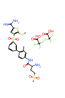 CSc1sc(C(=N)N)cc1S(=O)(=O)c1cccc(-c2ccc(NC(=O)C(N)CCS(C)(=O)=O)cc2C)c1.O=C(O)C(F)(F)F.O=C(O)C(F)(F)F